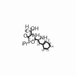 CC(C)SC(=O)[C@@H](NC(=O)[C@@H](N)Cc1ccccc1)[C@@H](C)O